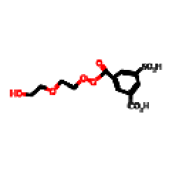 O=C(O)c1cc(C(=O)OOCCOCCO)cc(S(=O)(=O)O)c1